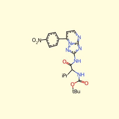 CC(C)C(NC(=O)OC(C)(C)C)C(=O)Nc1nc2nccc(-c3ccc([N+](=O)[O-])cc3)n2n1